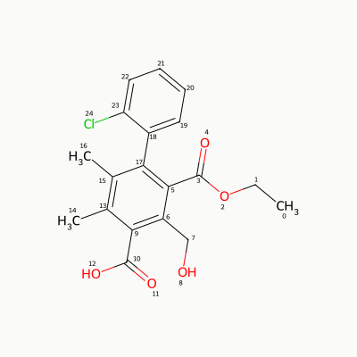 CCOC(=O)c1c(CO)c(C(=O)O)c(C)c(C)c1-c1ccccc1Cl